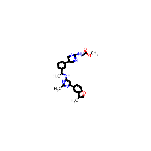 COC(=O)CNc1ncc(-c2cccc([C@H](C)Nc3cc(-c4ccc5occ(C)c5c4)nc(C)n3)c2)cn1